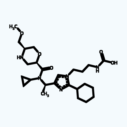 COC[C@H]1CO[C@@H](C(=O)N(C2CC2)[C@H](C)c2cn(CCCNC(=O)O)c(C3CCCCC3)n2)CN1